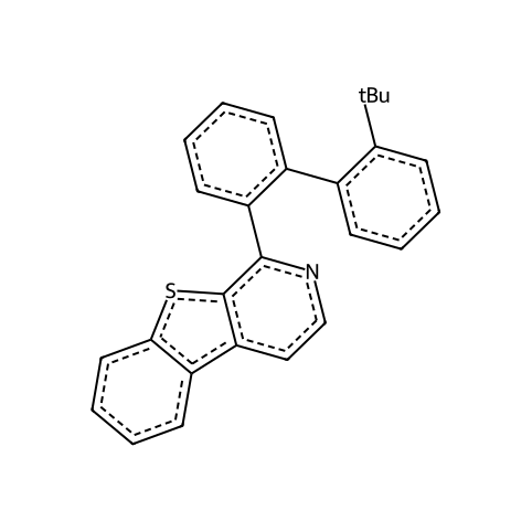 CC(C)(C)c1ccccc1-c1ccccc1-c1nccc2c1sc1ccccc12